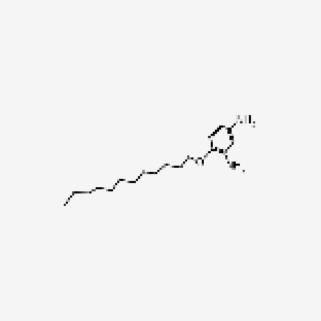 CCCCCCCCCCCCOc1ccc(N)cc1N